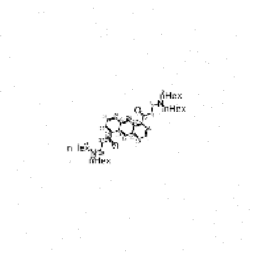 CCCCCCN(CCCCCC)CCC(=O)c1cccc2cc3c(C(=O)CCN(CCCCCC)CCCCCC)cccc3cc12